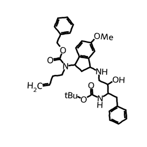 C=CCCN(C(=O)OCc1ccccc1)C1CC(NCC(O)C(Cc2ccccc2)NC(=O)OC(C)(C)C)c2cc(OC)ccc21